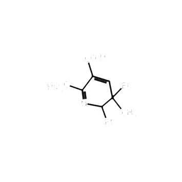 CCC1N=C(C(=O)O)C(C(=O)O)=CC1(C)CC